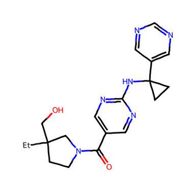 CCC1(CO)CCN(C(=O)c2cnc(NC3(c4cncnc4)CC3)nc2)C1